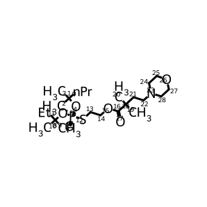 CCCC(C)(C)OP(=O)(OC(C)(C)CC)SCCOC(=O)C(C)(C)CCN1CCOCC1